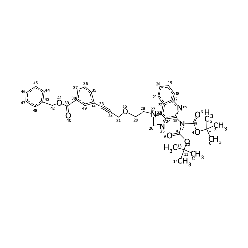 CC(C)(C)OC(=O)N(C(=O)OC(C)(C)C)c1nc2ccccc2c2c1ncn2CCOCC#Cc1cccc(C(=O)OCc2ccccc2)c1